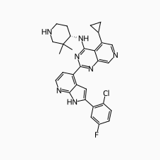 CC1(C)CNCC[C@@H]1Nc1nc(-c2ccnc3[nH]c(-c4cc(F)ccc4Cl)cc23)nc2cncc(C3CC3)c12